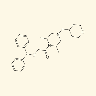 CC1CN(CC2CCOCC2)CC(C)N1C(=O)COC(c1ccccc1)c1ccccc1